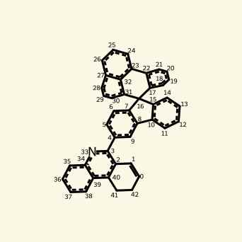 C1=Cc2c(-c3ccc4c(c3)-c3ccccc3C43c4ccccc4-c4cccc5cccc3c45)nc3ccccc3c2CC1